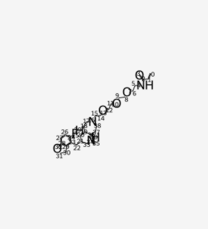 C=CC(=O)NCCOCCOCCOCCN1CC[C@@H]2C[C@H](Cc3c(F)ccc4c3CCO4)CN(C)[C@H]2CC1